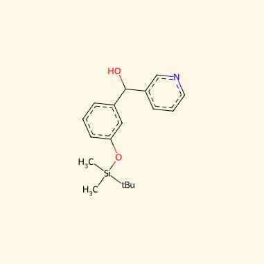 CC(C)(C)[Si](C)(C)Oc1cccc(C(O)c2cccnc2)c1